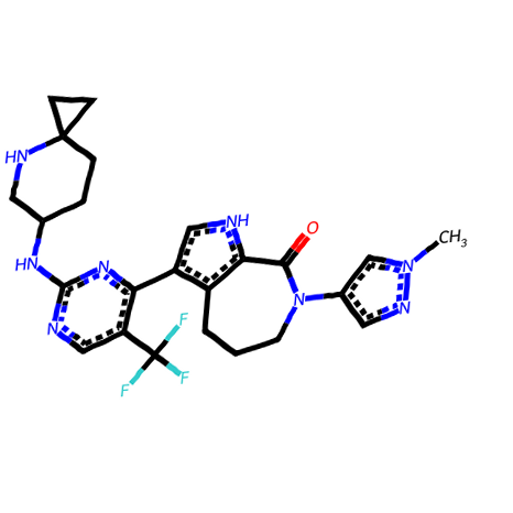 Cn1cc(N2CCCc3c(-c4nc(NC5CCC6(CC6)NC5)ncc4C(F)(F)F)c[nH]c3C2=O)cn1